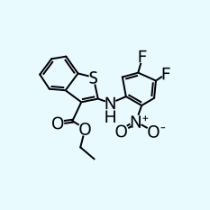 CCOC(=O)c1c(Nc2cc(F)c(F)cc2[N+](=O)[O-])sc2ccccc12